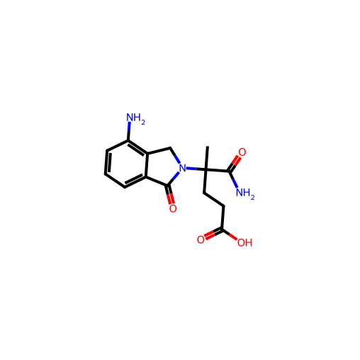 CC(CCC(=O)O)(C(N)=O)N1Cc2c(N)cccc2C1=O